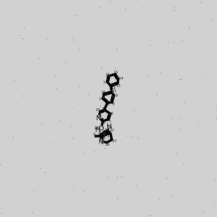 C[C@H]1[C@H](Oc2ccc(-c3ccc(-c4ccccc4)cc3)cn2)C2CCN1CC2